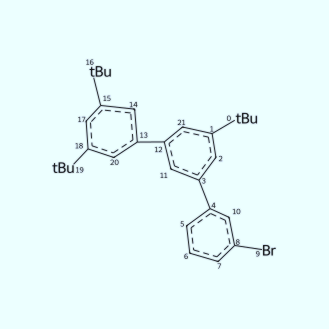 CC(C)(C)c1cc(-c2cccc(Br)c2)cc(-c2cc(C(C)(C)C)cc(C(C)(C)C)c2)c1